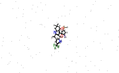 CSOC1CC(C)(C)Cc2nc(C(C)C)c3c(c21)C1(CCCC1I)O[C@@H]3c1ccc(C(F)(F)F)cn1